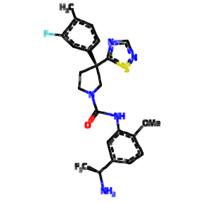 COc1ccc([C@@H](N)C(F)(F)F)cc1NC(=O)N1CC[C@](c2ccc(C)c(F)c2)(c2ncns2)C1